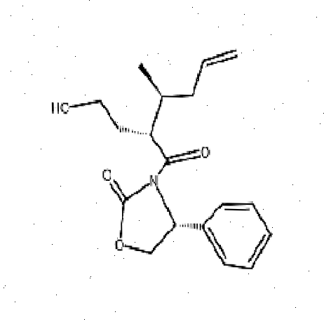 C=CC[C@H](C)[C@@H](CCO)C(=O)N1C(=O)OC[C@H]1c1ccccc1